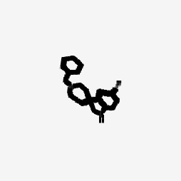 FC1=CC2=C(CC1)NCC21CCN(CC2CCCCC2)CC1